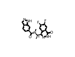 C[C@H](c1n[nH]c(=O)c2cc(F)c(F)cc12)N(C)C(=O)c1ccc2cn[nH]c2c1